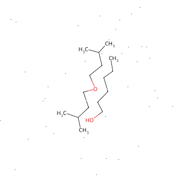 CC(C)CCOCCC(C)C.CCCCCCO